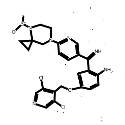 C[S+]([O-])N1CCN(c2ccc(C(=N)c3cc(OCc4c(Cl)cncc4Cl)ccc3N)cn2)CC12CC2